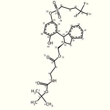 CC(C)(C)OC(=O)NCCC(=O)OC[C@@H]1Cc2ccccc2C1c1cc(OS(=O)(=O)CCCC(F)(F)F)ccc1O